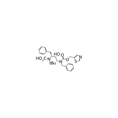 CC(C)(C)N(C(=O)O)[C@@H](Cc1ccccc1)[C@H](O)CN(Cc1ccccc1)C(=O)OCc1cncs1